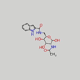 CC(=O)N[C@@H]1C(O)[C@@H](O)[C@@H](CNC(=O)c2cc3ccccc3[nH]2)O[C@H]1O